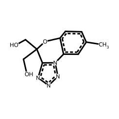 Cc1ccc2c(c1)-n1nnnc1C(CO)(CO)O2